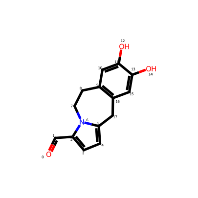 O=Cc1ccc2n1CCc1cc(O)c(O)cc1C2